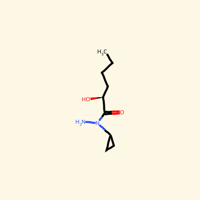 CCCC[C@H](O)C(=O)N(N)C1CC1